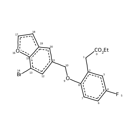 CCOC(=O)Cc1cc(F)ccc1OCc1cc(Br)c2occc2c1